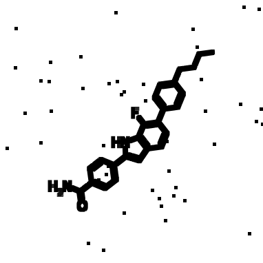 CCCCc1ccc(-c2ccc3cc(-c4ccc(C(N)=O)cc4)[nH]c3c2F)cc1